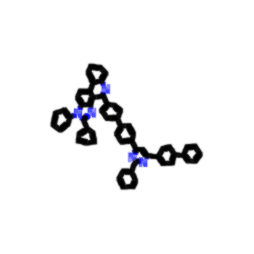 c1ccc(-c2ccc(-c3cc(-c4ccc(-c5ccc(-c6nc7ccccc7c7ccc8c(nc(-c9ccccc9)n8-c8ccccc8)c67)cc5)cc4)nc(-c4ccccc4)n3)cc2)cc1